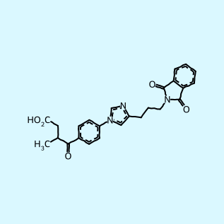 CC(CC(=O)O)C(=O)c1ccc(-n2cnc(CCCN3C(=O)c4ccccc4C3=O)c2)cc1